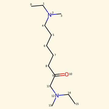 CCN(C)CCCCCC(=O)CN(C)CC